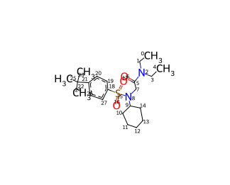 CCN(CC)C(=O)CN(C1CCCCC1)S(=O)(=O)c1ccc(C(C)(C)C)cc1